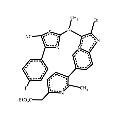 CCOC(=O)Cc1ccc(-c2ccc3nc(CC)c(N(C)c4nc(-c5ccc(F)cc5)c(C#N)s4)n3c2)c(C)n1